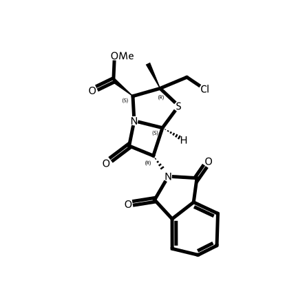 COC(=O)[C@@H]1N2C(=O)[C@@H](N3C(=O)c4ccccc4C3=O)[C@@H]2S[C@@]1(C)CCl